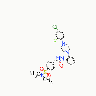 CN(C)S(=O)(=O)c1ccc(CC(=O)Nc2ccccc2N2CCN(c3ccc(Cl)cc3F)CC2)cc1